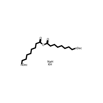 CCCCCCCCCCCCCCCCCC(=O)OC(=O)CCCCCCCCCCCCCCCCC.[KH].[NaH]